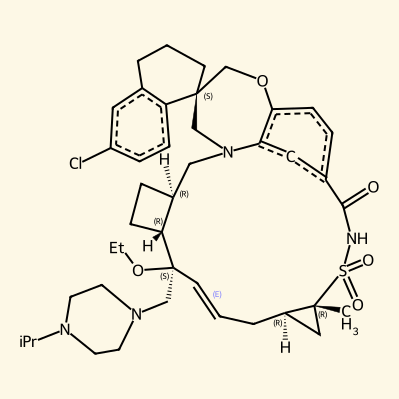 CCO[C@]1(CN2CCN(C(C)C)CC2)/C=C/C[C@@H]2C[C@@]2(C)S(=O)(=O)NC(=O)c2ccc3c(c2)N(C[C@@H]2CC[C@H]21)C[C@@]1(CCCc2cc(Cl)ccc21)CO3